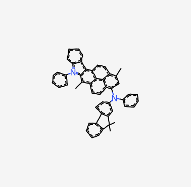 Cc1cc(N(c2ccccc2)c2ccc3c(c2)C(C)(C)c2ccccc2-3)c2ccc3c(C)c4c(c5ccc1c2c35)c1ccccc1n4-c1ccccc1